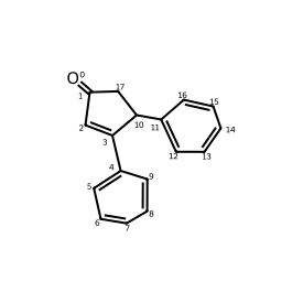 O=C1C=C(c2ccccc2)C(c2ccccc2)C1